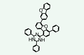 c1ccc(-c2ccc(C3=NC(c4ccccc4)NC(c4ccccc4)N3)c3c2oc2c(-c4ccc5c(c4)oc4ccccc45)cccc23)cc1